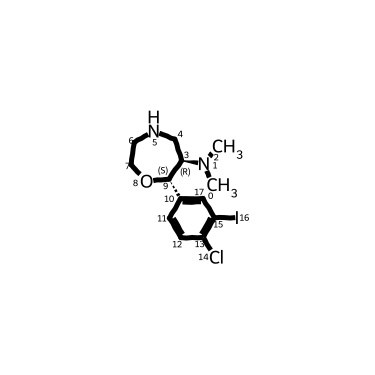 CN(C)[C@@H]1CNCCO[C@H]1c1ccc(Cl)c(I)c1